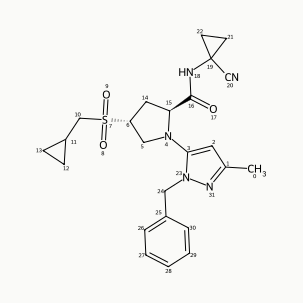 Cc1cc(N2C[C@H](S(=O)(=O)CC3CC3)C[C@H]2C(=O)NC2(C#N)CC2)n(Cc2ccccc2)n1